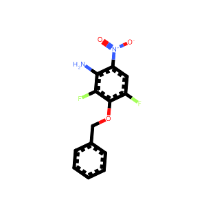 Nc1c([N+](=O)[O-])cc(F)c(OCc2ccccc2)c1F